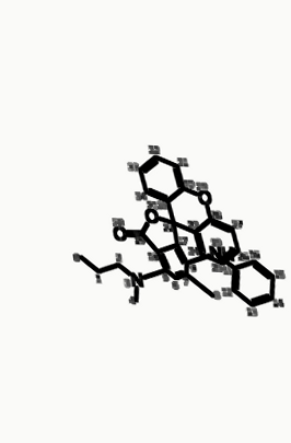 CCCN(C)c1cc(C)c(Nc2ccccc2)c2c1C(=O)OC21c2ccccc2Oc2ccccc21